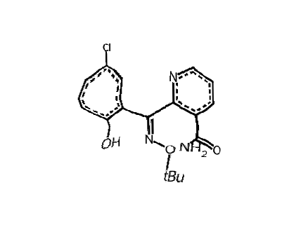 CC(C)(C)O/N=C(/c1cc(Cl)ccc1O)c1ncccc1C(N)=O